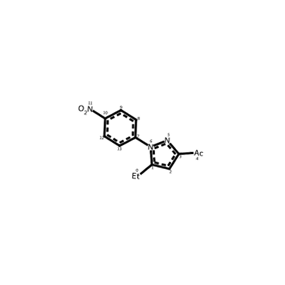 CCc1cc(C(C)=O)nn1-c1ccc([N+](=O)[O-])cc1